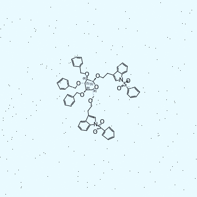 O=S(=O)(c1ccccc1)n1cc(CCOC[C@H]2O[C@H](OCCc3cn(S(=O)(=O)c4ccccc4)c4ccccc34)[C@H](OCc3ccccc3)[C@@H](OCc3ccccc3)[C@@H]2OCc2ccccc2)c2ccccc21